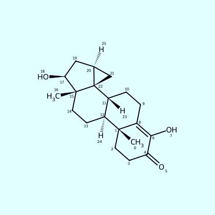 C[C@]12CCC(=O)C(O)=C1CC[C@@H]1[C@@H]2CC[C@]2(C)[C@@H](O)C[C@H]3C[C@@]312